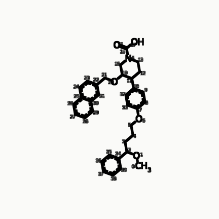 COC(CCCOc1ccc(C2CCN(C(=O)O)CC2OCc2ccc3ccccc3c2)cc1)c1ccccc1